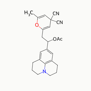 CC(=O)OC(CC1=CC(C#N)(C#N)C=C(C)O1)c1cc2c3c(c1)CCCN3CCC2